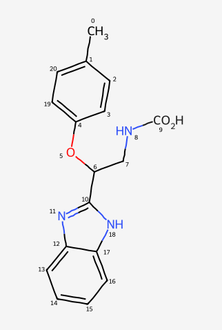 Cc1ccc(OC(CNC(=O)O)c2nc3ccccc3[nH]2)cc1